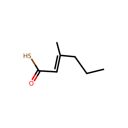 CCCC(C)=CC(=O)S